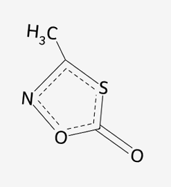 Cc1noc(=O)s1